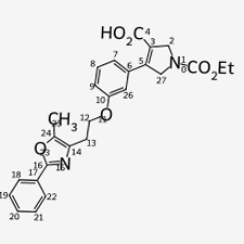 CCOC(=O)N1CC(C(=O)O)=C(c2cccc(OCCc3nc(-c4ccccc4)oc3C)c2)C1